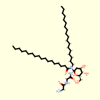 CCCCCCCCCCCCCCCCCCN(C(=O)CCCCCCCCCCCCCCCCC)[C@@]1(NC(=O)CNC(=O)CN)C[C@@H](O)[C@H](O)[C@@H](CO)O1